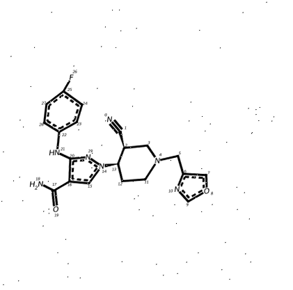 N#C[C@H]1CN(Cc2cocn2)CC[C@H]1n1cc(C(N)=O)c(Nc2ccc(F)cc2)n1